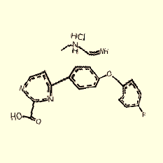 CNC=N.Cl.O=C(O)c1nccc(-c2ccc(Oc3ccc(F)cc3)cc2)n1